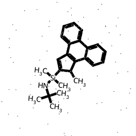 CC1C([Si](C)(C)NC(C)(C)C)=Cc2c1c1ccccc1c1ccccc21